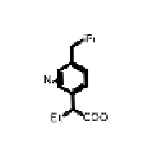 CCC(C(=O)[O-])c1ccc(CC(C)C)cc1.[Na+]